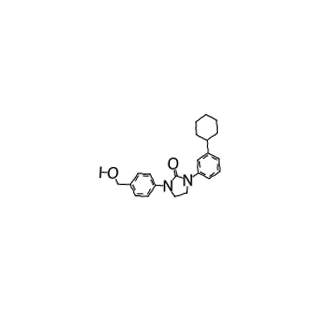 O=C1N(c2ccc(COI)cc2)CCN1c1cccc(C2CCCCC2)c1